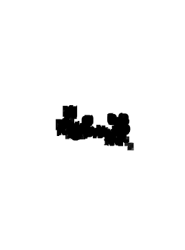 COc1cc(OC)c(F)c(-c2nc(-c3nc(-c4cn(CCOc5cc(OC)cc(-c6nc(-c7nc(-c8cn(C)nc8C)cnc7N)cn(C)c6=O)c5Cl)nc4C)cnc3N)cn(C)c2=O)c1